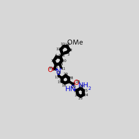 COc1ccc(-c2ccc3c(c2)CN(Cc2ccc(C(=O)Nc4ccccc4N)cc2)C3=O)cc1